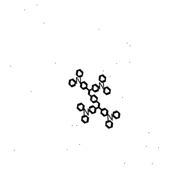 C(=C(c1ccc(N(c2ccccc2)c2ccccc2)cc1)c1ccc(N(c2ccccc2)c2ccccc2)cc1)c1ccc(C=C(c2ccc(N(c3ccccc3)c3ccccc3)cc2)c2ccc(N(c3ccccc3)c3ccccc3)cc2)cc1